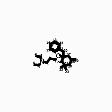 CCN(CC)CCCOC1(Cc2ccccc2)CC(C)CC(C)(C)C1